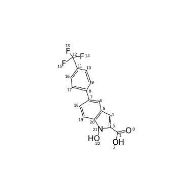 O=C(O)c1cc2cc(-c3ccc(C(F)(F)F)cc3)ccc2n1O